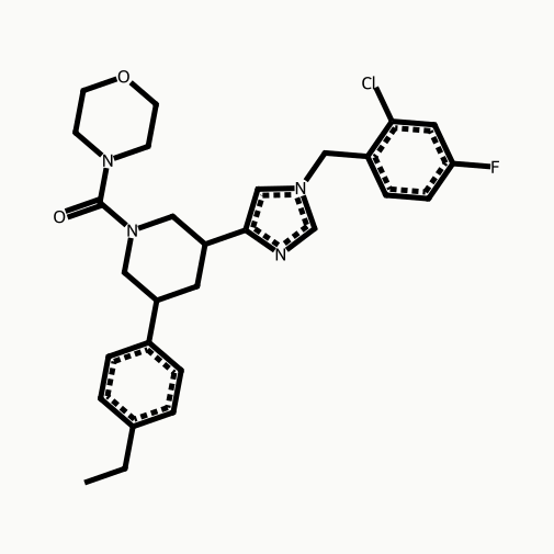 CCc1ccc(C2CC(c3cn(Cc4ccc(F)cc4Cl)cn3)CN(C(=O)N3CCOCC3)C2)cc1